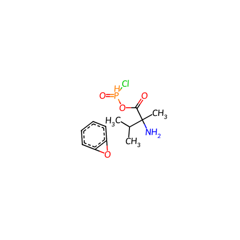 CC(C)C(C)(N)C(=O)O[PH](=O)Cl.c1ccc2c(c1)O2